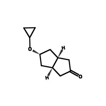 O=C1C[C@@H]2C[C@@H](OC3CC3)C[C@@H]2C1